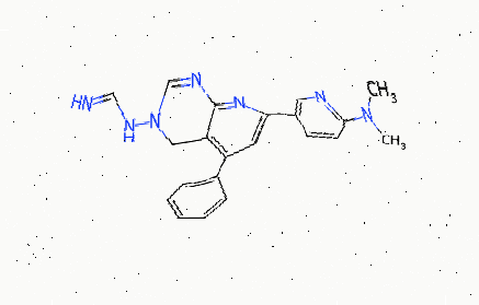 CN(C)c1ccc(-c2cc(-c3ccccc3)c3c(n2)N=CN(NC=N)C3)cn1